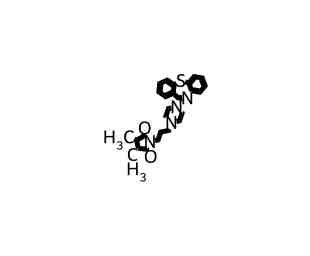 CC1C(=O)N(CCCN2CCN(C3=Nc4ccccc4Sc4ccccc43)CC2)C(=O)C1C